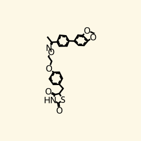 C/C(=N/OCCOc1ccc(CC2SC(=O)NC2=O)cc1)c1ccc(-c2ccc3c(c2)OCO3)cc1